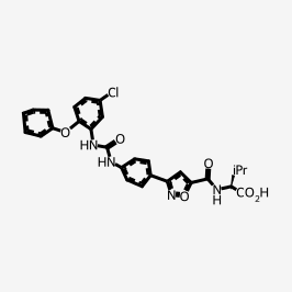 CC(C)[C@H](NC(=O)c1cc(-c2ccc(NC(=O)Nc3cc(Cl)ccc3Oc3ccccc3)cc2)no1)C(=O)O